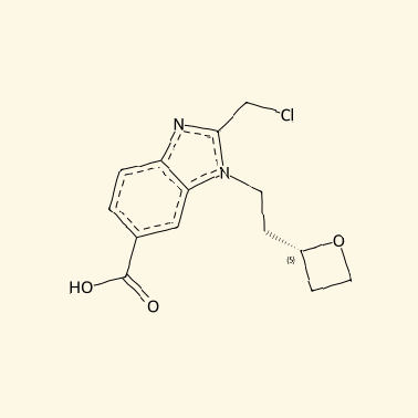 O=C(O)c1ccc2nc(CCl)n(CC[C@H]3CCO3)c2c1